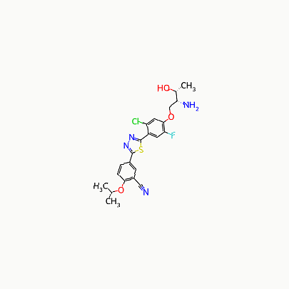 CC(C)Oc1ccc(-c2nnc(-c3cc(F)c(OC[C@@H](N)[C@@H](C)O)cc3Cl)s2)cc1C#N